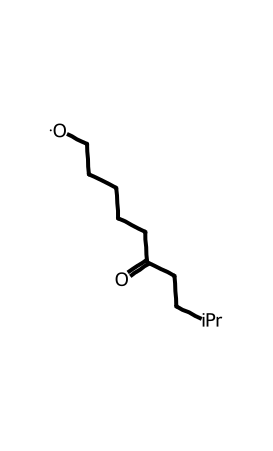 CC(C)CCC(=O)CCCCC[O]